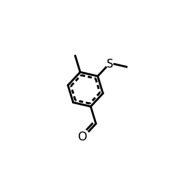 CSc1cc(C=O)ccc1C